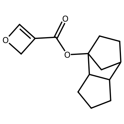 O=C(OC12CCC(C1)C1CCCC12)C1=COC1